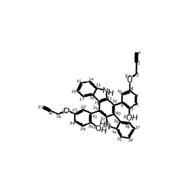 C#CCOc1ccc(O)c(-c2c3[nH]c4ccccc4c3c(-c3cc(OCC#C)ccc3O)c3[nH]c4ccccc4c23)c1